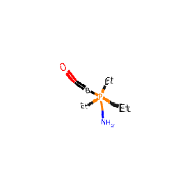 CCP(N)(B=O)(CC)CC